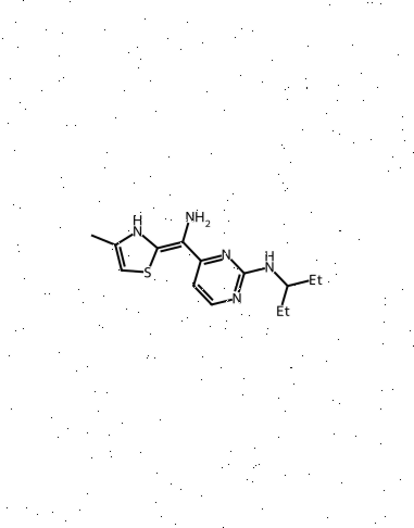 CCC(CC)Nc1nccc(/C(N)=C2/NC(C)=CS2)n1